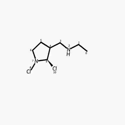 CCNCC1CCN(Cl)[C@@H]1Cl